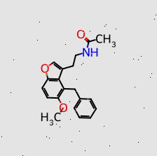 COc1ccc2occ(CCNC(C)=O)c2c1Cc1ccccc1